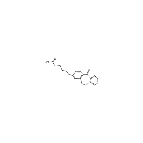 O=C(O)CCCCCc1ccc2c(c1)CCc1ccccc1C2=O